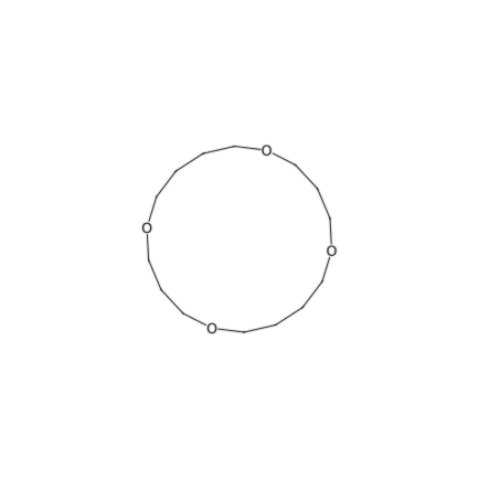 C1CCOCCCOCCCCOCCCOC1